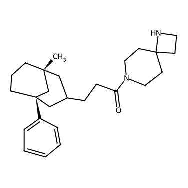 C[C@@]12CCC[C@@](c3ccccc3)(CC(CCC(=O)N3CCC4(CCN4)CC3)C1)C2